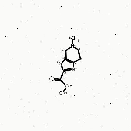 CN1CCc2nc(C(=O)OCl)sc2C1